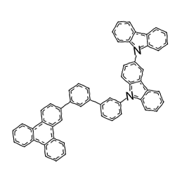 c1cc(-c2cccc(-n3c4ccccc4c4cc(-n5c6ccccc6c6ccccc65)ccc43)c2)cc(-c2ccc3c4ccccc4c4ccccc4c3c2)c1